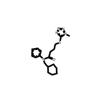 Cn1nnnc1SCCCC(=O)N(CC1CCCCC1)c1ccccc1